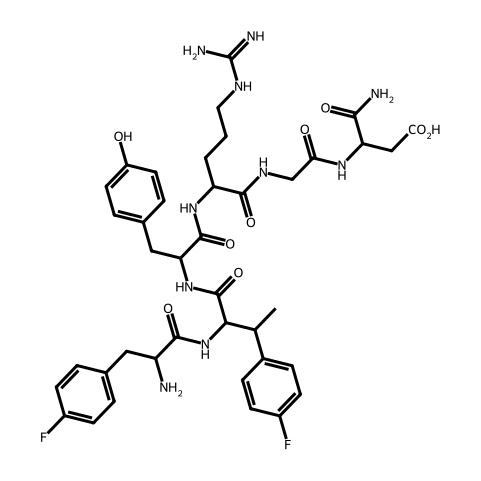 CC(c1ccc(F)cc1)C(NC(=O)C(N)Cc1ccc(F)cc1)C(=O)NC(Cc1ccc(O)cc1)C(=O)NC(CCCNC(=N)N)C(=O)NCC(=O)NC(CC(=O)O)C(N)=O